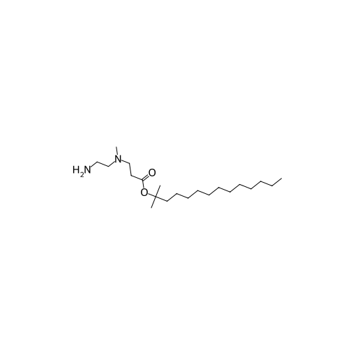 CCCCCCCCCCCCC(C)(C)OC(=O)CCN(C)CCN